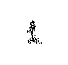 Cc1c(C)c(S(=O)(=O)NCCCCC(NC(=O)OC(C)(C)C)C(=O)c2nccs2)c(C)c2c1OC(C)(C)CC2